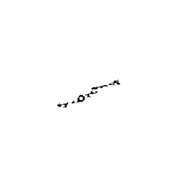 C=CC(=O)OCCCCOc1ccc(C(=O)Oc2ccc(OCCCC(=O)OC=O)cc2)cc1